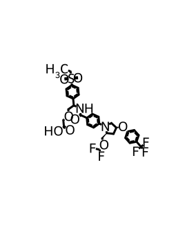 CCS(=O)(=O)c1ccc(C(COCC(=O)O)NC(=O)c2ccc(N3C[C@@H](Oc4ccc(C(F)(F)F)cc4)C[C@H]3COC(F)F)cc2)cc1